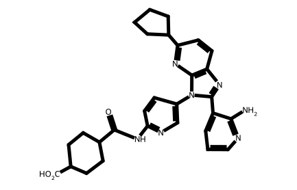 Nc1ncccc1-c1nc2ccc(C3CCCC3)nc2n1-c1ccc(NC(=O)C2CCC(C(=O)O)CC2)nc1